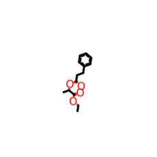 CCOC(=O)C(C)OC(=O)CCc1ccccc1